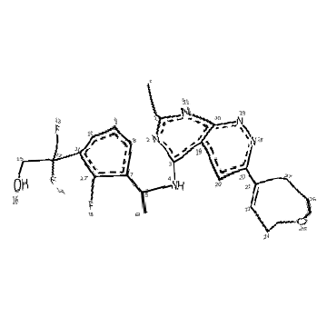 Cc1nc(NC(C)c2cccc(C(F)(F)CO)c2F)c2cc(C3=CCOCC3)nnc2n1